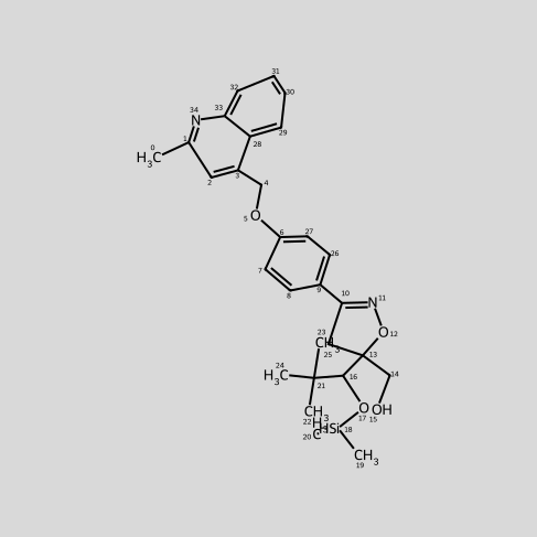 Cc1cc(COc2ccc(C3=NOC(CO)(C(O[SiH](C)C)C(C)(C)C)C3)cc2)c2ccccc2n1